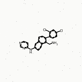 NCc1c(-c2ccc(Cl)cc2Cl)ccc2cc(Nc3ccncn3)ccc12